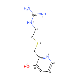 N=C(N)NCCSCc1ncccc1O